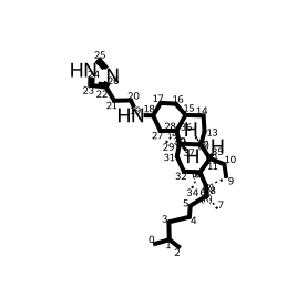 CC(C)CCC[C@@H](C)[C@H]1CC[C@H]2[C@@H]3CCC4CCC(NCCc5c[nH]cn5)C[C@]4(C)[C@H]3CC[C@]12C